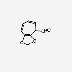 O=CC1C=CC=CC2=C1OCO2